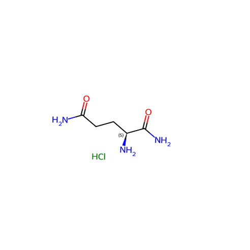 Cl.NC(=O)CC[C@H](N)C(N)=O